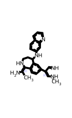 CN/C=C(\C=N)c1ccc2c(c1)C(Nc1ccc3cccnc3c1)CCN/C2=C(/C)N